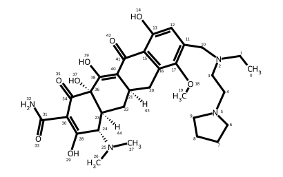 CCN(CCN1CCCC1)Cc1cc(O)c2c(c1OC)C[C@H]1C[C@H]3[C@H](N(C)C)C(O)=C(C(N)=O)C(=O)[C@@]3(O)C(O)=C1C2=O